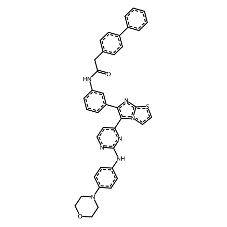 O=C(Cc1ccc(-c2ccccc2)cc1)Nc1cccc(-c2nc3sccn3c2-c2ccnc(Nc3ccc(N4CCOCC4)cc3)n2)c1